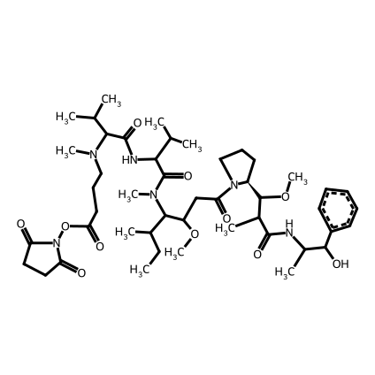 CCC(C)C(C(CC(=O)N1CCC[C@H]1C(OC)C(C)C(=O)NC(C)C(O)c1ccccc1)OC)N(C)C(=O)C(NC(=O)C(C(C)C)N(C)CCCC(=O)ON1C(=O)CCC1=O)C(C)C